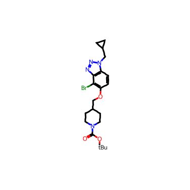 CC(C)(C)OC(=O)N1CCC(COc2ccc3c(nnn3CC3CC3)c2Br)CC1